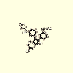 C=C(Cl)/C=N\c1c(C)[nH]c(-c2ccnc(NC(C)=O)c2)c1-c1cccc(NCCO)n1